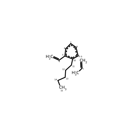 C=CC.C=Cc1ccccc1CCCCC